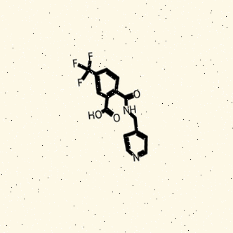 O=C(O)c1cc(C(F)(F)F)ccc1C(=O)NCc1ccncc1